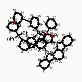 CCCC(CC)(c1ccccc1)c1cccc(-c2cc(-n3c4ccccc4c4ccc5c6ccccc6n(-c6ccc7c(c6)c6ccccc6n7-c6cccc(-c7ccccc7)c6)c5c43)cc(C(CC)(CCC)c3ccccc3)c2)c1